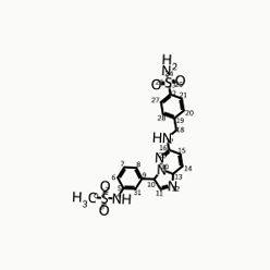 CS(=O)(=O)Nc1cccc(C2C=NC3C=CC(NCc4ccc(S(N)(=O)=O)cc4)=NN32)c1